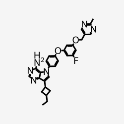 CCC1CC(c2cn(-c3ccc(Oc4cc(F)cc(OCc5cnc(C)nc5)c4)cc3)c3c(N)ncnc23)C1